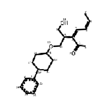 C/C=C\C=C(/C(C)=O)C(CO)COC1CCC(c2ccccc2)CC1